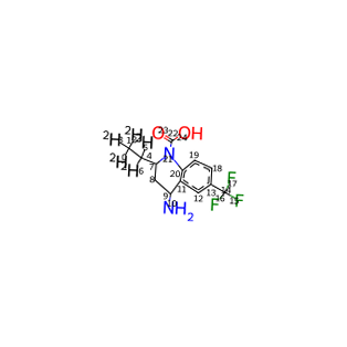 [2H]C([2H])([2H])C([2H])([2H])C1CC(N)c2cc(C(F)(F)F)ccc2N1C(=O)O